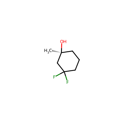 C[C@]1(O)CCCC(F)(F)C1